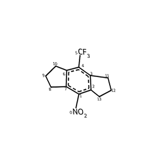 O=[N+]([O-])c1c2c(c(C(F)(F)F)c3c1CCC3)CCC2